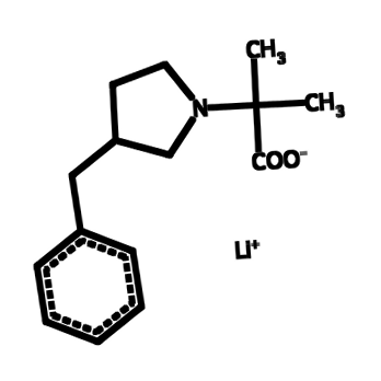 CC(C)(C(=O)[O-])N1CCC(Cc2ccccc2)C1.[Li+]